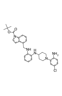 CC(C)(C)OC(=O)n1ccc2c(CNc3ccccc3NC3CCN(c4cc(Cl)ccc4N)CC3)cccc21